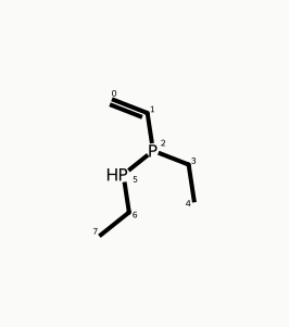 C=CP(CC)PCC